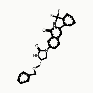 O=C1N[C@@H](COCc2ccccc2)CN1c1ccc2cc(-c3ccccc3C(F)(F)F)[nH]c(=O)c2c1